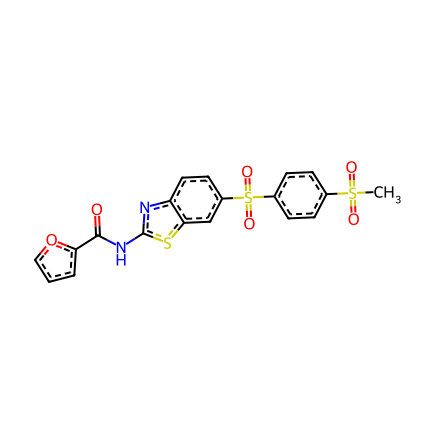 CS(=O)(=O)c1ccc(S(=O)(=O)c2ccc3nc(NC(=O)c4ccco4)sc3c2)cc1